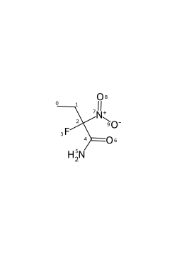 CCC(F)(C(N)=O)[N+](=O)[O-]